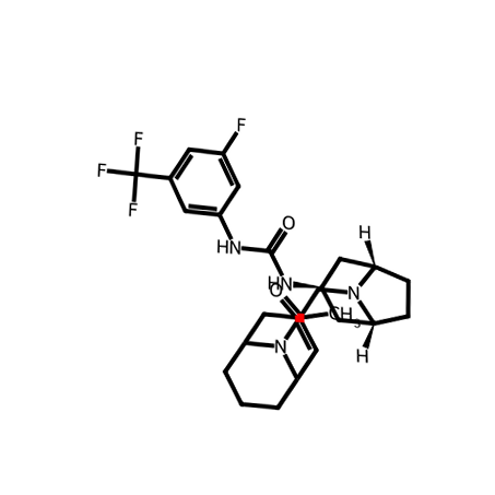 CC(=O)N1C2C=C(CN3[C@@H]4CC[C@H]3C[C@H](NC(=O)Nc3cc(F)cc(C(F)(F)F)c3)C4)CC1CCC2